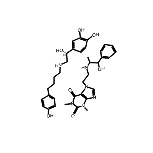 CC(NCCn1cnc2c1c(=O)n(C)c(=O)n2C)C(O)c1ccccc1.Oc1ccc(CCCCNC[C@H](O)c2ccc(O)c(O)c2)cc1